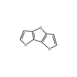 c1cc2oc3ccoc3c2o1